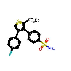 CCOC(=O)c1scc(-c2ccc(F)cc2)c1-c1ccc(S(N)(=O)=O)cc1